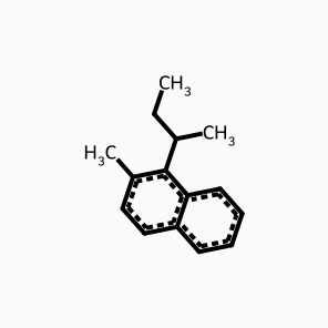 CCC(C)c1c(C)ccc2ccccc12